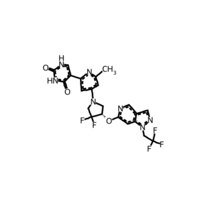 Cc1cc(N2C[C@H](Oc3cc4c(cn3)cnn4CC(F)(F)F)C(F)(F)C2)cc(-c2c[nH]c(=O)[nH]c2=O)n1